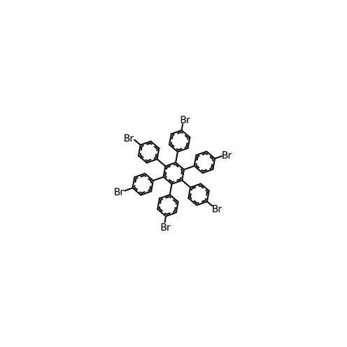 Brc1ccc(-c2c(-c3ccc(Br)cc3)c(-c3ccc(Br)cc3)c(-c3ccc(Br)cc3)c(-c3ccc(Br)cc3)c2-c2ccc(Br)cc2)cc1